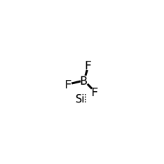 FB(F)F.[Si]